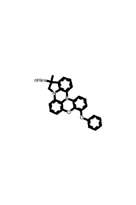 CCCCCCC1(C)CN2c3cccc4c3B(c3cccc(Oc5ccccc5)c3O4)c3cccc1c32